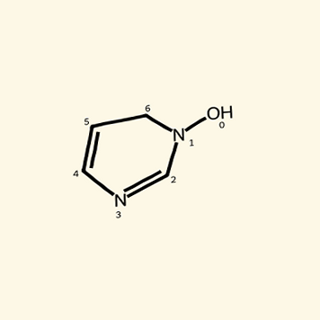 ON1C=NC=CC1